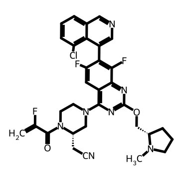 C=C(F)C(=O)N1CCN(c2nc(OC[C@@H]3CCCN3C)nc3c(F)c(-c4cncc5cccc(Cl)c45)c(F)cc23)C[C@@H]1CC#N